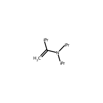 C=C(C(C)C)N(C(C)C)C(C)C